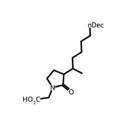 CCCCCCCCCCCCCCC(C)C1CCN(CC(=O)O)C1=O